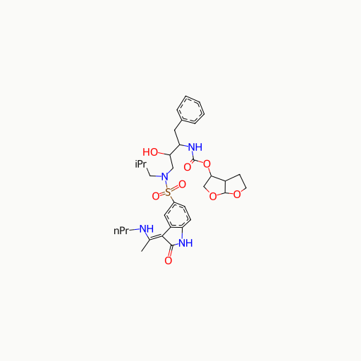 CCCN/C(C)=C1/C(=O)Nc2ccc(S(=O)(=O)N(CC(C)C)CC(O)C(Cc3ccccc3)NC(=O)OC3COC4OCCC34)cc21